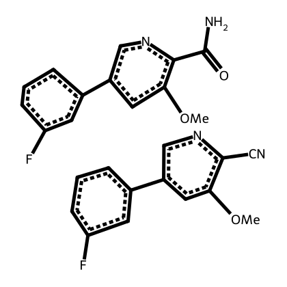 COc1cc(-c2cccc(F)c2)cnc1C#N.COc1cc(-c2cccc(F)c2)cnc1C(N)=O